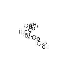 Cc1onc(-c2ccc(OC3CCC[C@H](C(=O)O)C3)cc2)c1COC(=O)N(C)C1CCCC1